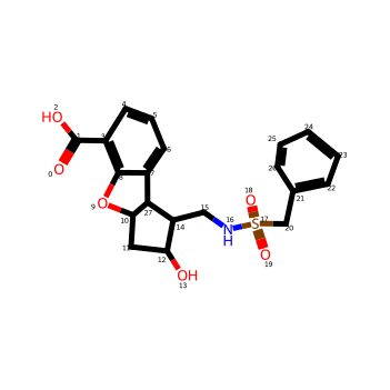 O=C(O)c1cccc2c1OC1CC(O)C(CNS(=O)(=O)Cc3ccccc3)C21